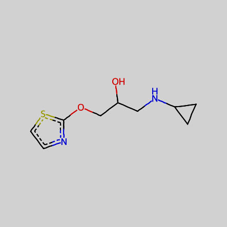 OC(CNC1CC1)COc1nccs1